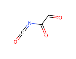 O=C=NC(=O)C=O